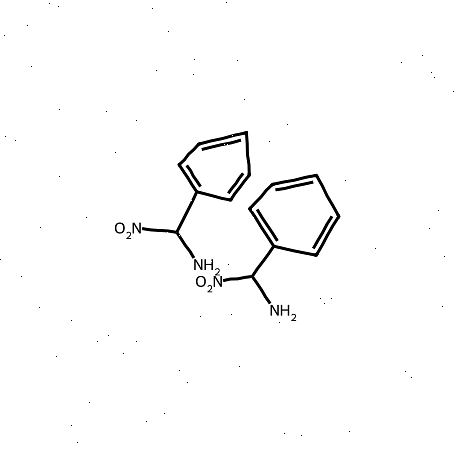 NC(c1ccccc1)[N+](=O)[O-].NC(c1ccccc1)[N+](=O)[O-]